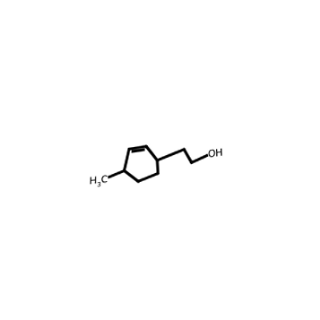 CC1C=CC(CCO)CC1